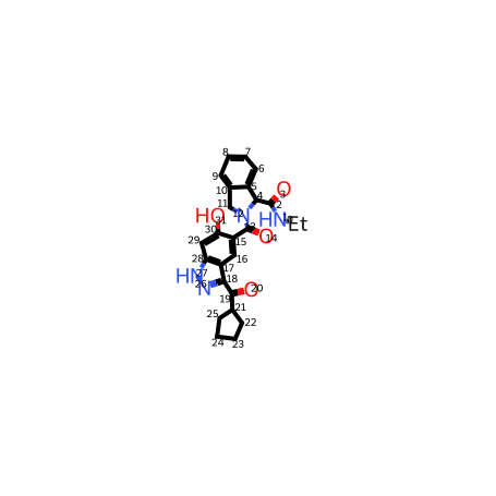 CCNC(=O)C1c2ccccc2CN1C(=O)c1cc2c(C(=O)C3CCCC3)n[nH]c2cc1O